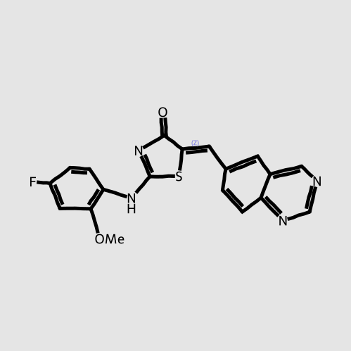 COc1cc(F)ccc1NC1=NC(=O)/C(=C/c2ccc3ncncc3c2)S1